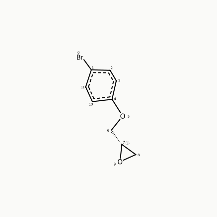 Brc1ccc(OC[C@@H]2CO2)cc1